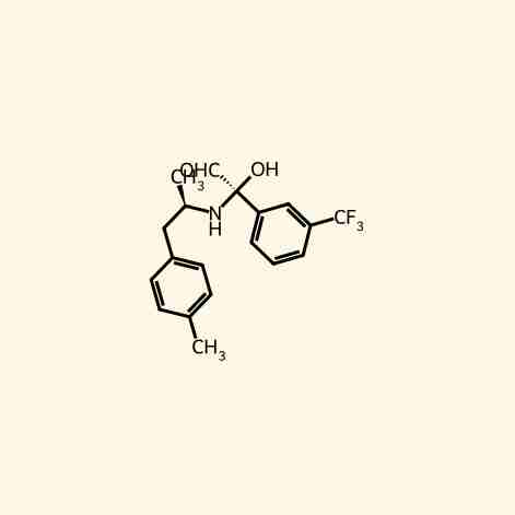 Cc1ccc(C[C@@H](C)N[C@](O)(C=O)c2cccc(C(F)(F)F)c2)cc1